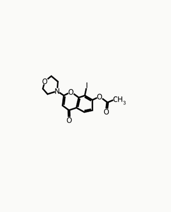 CC(=O)Oc1ccc2c(=O)cc(N3CCOCC3)oc2c1I